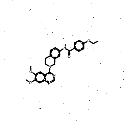 CCOc1ccc(C(=O)Nc2ccc3c(c2)CN(c2ncnc4cc(OC)c(OC)cc24)CC3)cc1